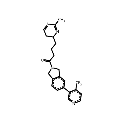 CC1=NC(CCCC(=O)N2Cc3ccc(-c4cnccc4C(F)(F)F)cc3C2)CC=N1